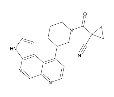 N#CC1(C(=O)N2CCCC(c3ccnc4cnc5[nH]ccc5c34)C2)CC1